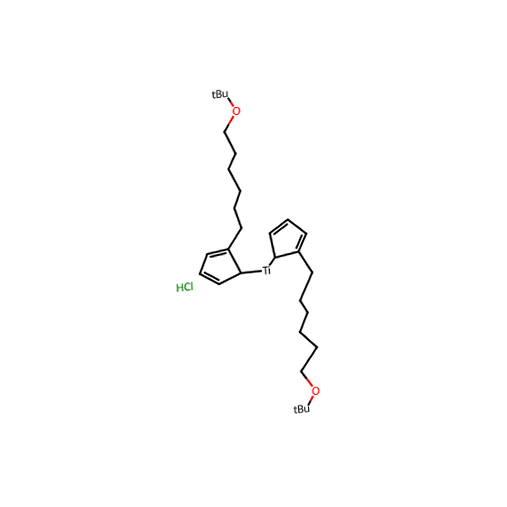 CC(C)(C)OCCCCCCC1=CC=C[CH]1[Ti][CH]1C=CC=C1CCCCCCOC(C)(C)C.Cl